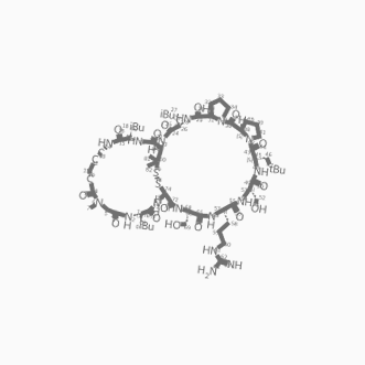 CC[C@H](C)[C@@H]1NC(=O)CN(C)C(=O)CCCCNC(=O)[C@H]([C@@H](C)CC)NC(=O)[C@H]2NC(=O)[C@H]([C@@H](C)CC)NC(=O)[C@@H]3CCCN3C(=O)[C@@H]3CCCN3C(=O)[C@H](CC(C)(C)C)NC(=O)[C@H](CO)NC(=O)[C@H](CCCNC(=N)N)NC(=O)[C@H](CO)NC(=O)[C@@H](NC1=O)SSC2(C)C